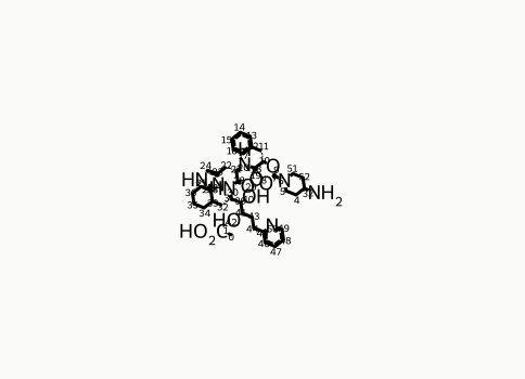 CC(=O)O.NC1CCN(C(=O)O[C@@H](Cc2ccccc2)C(=O)N[C@@H](Cc2c[nH]cn2)C(=O)N[C@@H](CC2CCCCC2)[C@@H](O)[C@@H](O)CCc2ccccn2)CC1